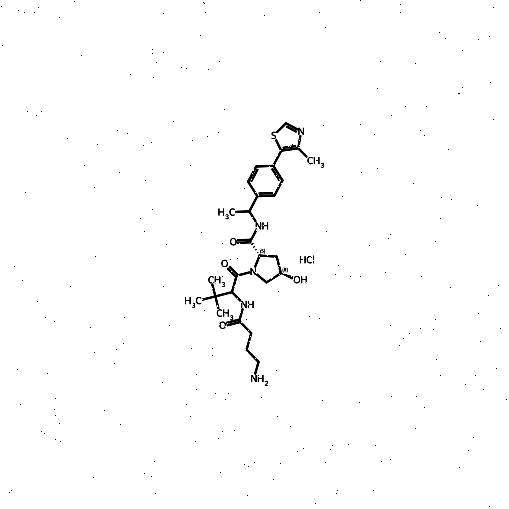 Cc1ncsc1-c1ccc(C(C)NC(=O)[C@@H]2C[C@@H](O)CN2C(=O)C(NC(=O)CCCN)C(C)(C)C)cc1.Cl